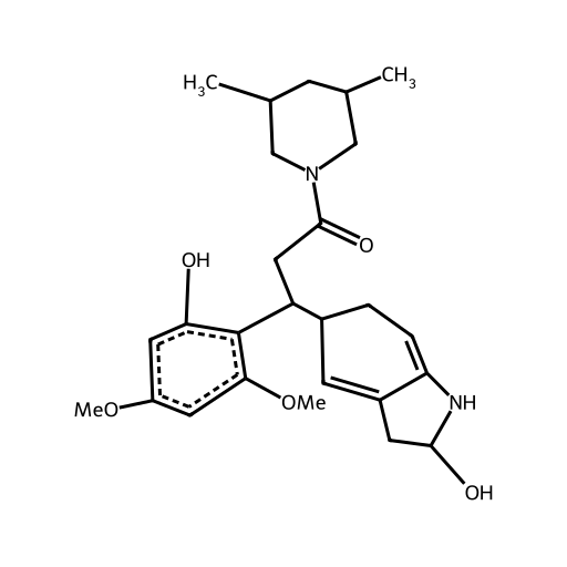 COc1cc(O)c(C(CC(=O)N2CC(C)CC(C)C2)C2C=C3CC(O)NC3=CC2)c(OC)c1